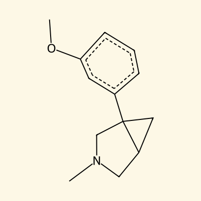 COc1cccc(C23CC2CN(C)C3)c1